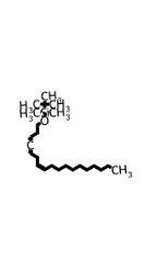 CCCCCCCCCC/C=C\CC=C=CCCO[Si](C)(C)C(C)(C)C